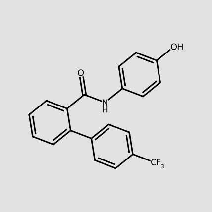 O=C(Nc1ccc(O)cc1)c1ccccc1-c1ccc(C(F)(F)F)cc1